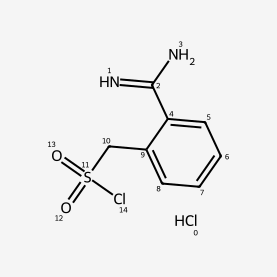 Cl.N=C(N)c1ccccc1CS(=O)(=O)Cl